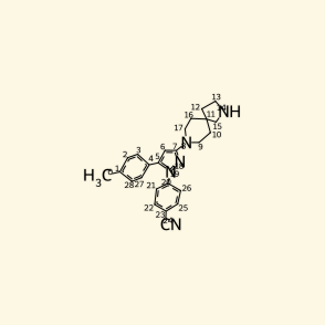 Cc1ccc(-c2cc(N3CCC4(CCNC4)CC3)nn2-c2ccc(C#N)cc2)cc1